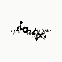 COc1ncnc(C2CC2)c1C1=NC(C)=CC(C=O)(NCc2ccc(-c3nc(C(F)(F)F)cn3C3CC3)cc2)N1